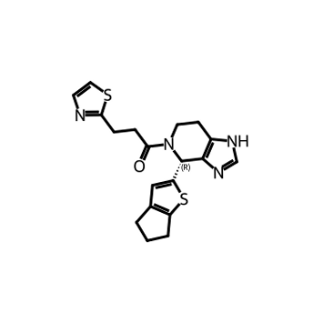 O=C(CCc1nccs1)N1CCc2[nH]cnc2[C@@H]1c1cc2c(s1)CCC2